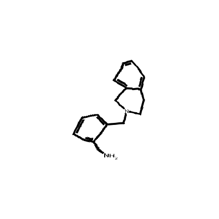 Nc1ccccc1CN1CCc2ccccc2C1